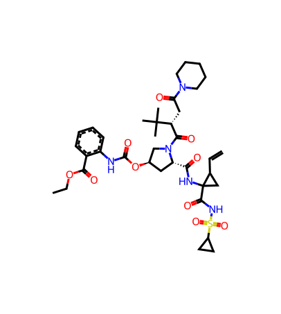 C=CC1CC1(NC(=O)[C@@H]1C[C@@H](OC(=O)Nc2ccccc2C(=O)OCC)CN1C(=O)[C@@H](CC(=O)N1CCCCC1)C(C)(C)C)C(=O)NS(=O)(=O)C1CC1